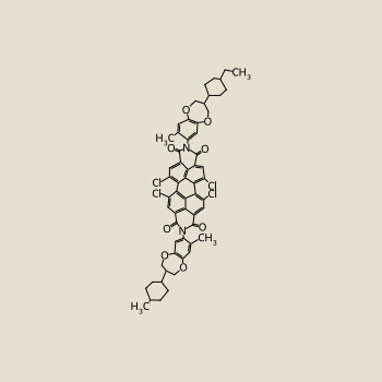 CCC1CCC(C2COc3cc(C)c(N4C(=O)c5cc(Cl)c6c7c(Cl)cc8c9c(cc(Cl)c(c%10c(Cl)cc(c5c6%10)C4=O)c97)C(=O)N(c4cc5c(cc4C)OCC(C4CCC(C)CC4)CO5)C8=O)cc3OC2)CC1